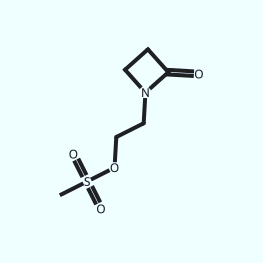 CS(=O)(=O)OCCN1CCC1=O